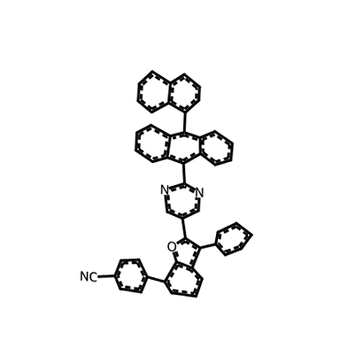 N#Cc1ccc(-c2cccc3c(-c4ccccc4)c(-c4cnc(-c5c6ccccc6c(-c6cccc7ccccc67)c6ccccc56)nc4)oc23)cc1